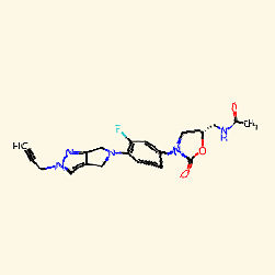 C#CCn1cc2c(n1)CN(c1ccc(N3C[C@H](CNC(C)=O)OC3=O)cc1F)C2